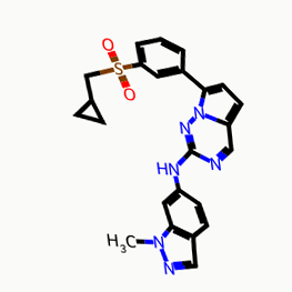 Cn1ncc2ccc(Nc3ncc4ccc(-c5cccc(S(=O)(=O)CC6CC6)c5)n4n3)cc21